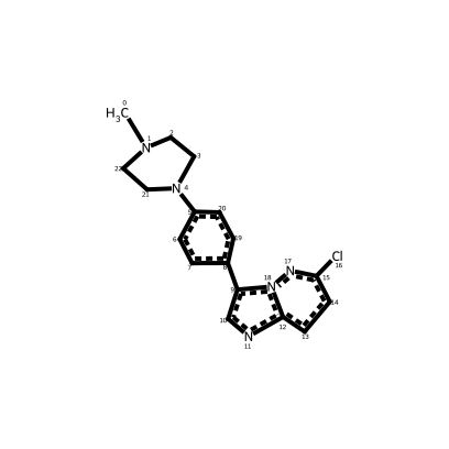 CN1CCN(c2ccc(-c3cnc4ccc(Cl)nn34)cc2)CC1